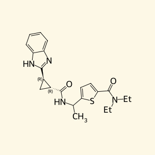 CCN(CC)C(=O)c1ccc(C(C)NC(=O)[C@@H]2C[C@H]2c2nc3ccccc3[nH]2)s1